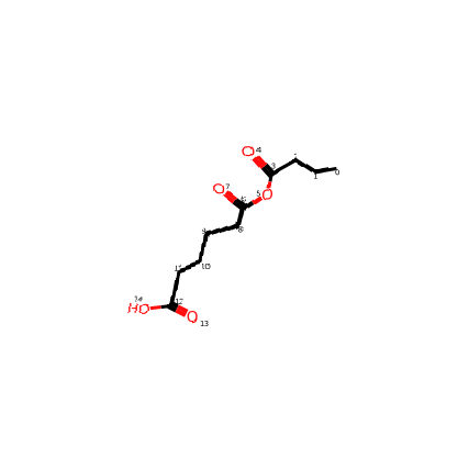 CCCC(=O)OC(=O)CCCCC(=O)O